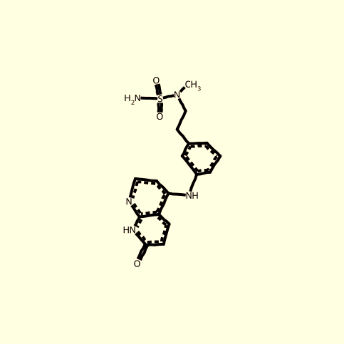 CN(CCc1cccc(Nc2ccnc3[nH]c(=O)ccc23)c1)S(N)(=O)=O